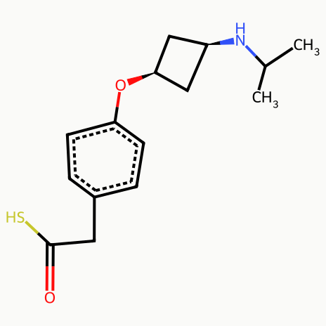 CC(C)N[C@H]1C[C@@H](Oc2ccc(CC(=O)S)cc2)C1